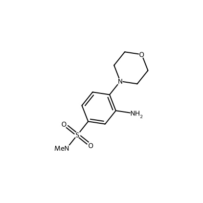 CNS(=O)(=O)c1ccc(N2CCOCC2)c(N)c1